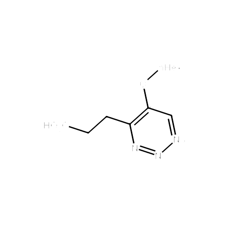 CCCCCCOc1cnnnc1CCC(=O)O